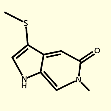 CSc1c[nH]c2cn(C)c(=O)cc12